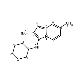 Cc1ccn2c(NC3CCCCC3)c(C(C)(C)C)nc2c1